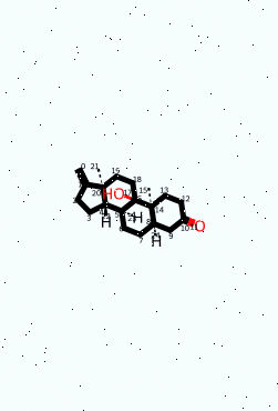 C=C1CC[C@H]2[C@@H]3CC[C@@H]4CC(=O)CC[C@]4(C)[C@@]3(O)CC[C@]12C